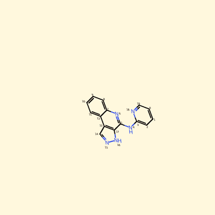 c1ccc(Nc2nc3ccccc3c3cn[nH]c23)nc1